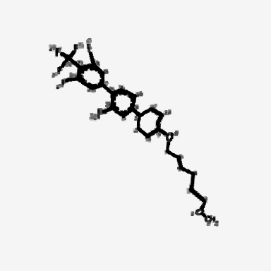 COCCCCCCOC1CCC(c2ccc(-c3cc(F)c(C(F)(F)F)c(F)c3)c(F)c2)CC1